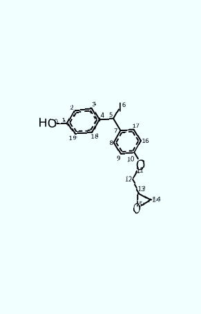 Oc1ccc(C(I)c2ccc(OCC3CO3)cc2)cc1